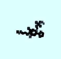 C=CCON1C(=O)N2C[C@H]1C=C(c1ncco1)[C@H]2COS(C)(=O)=O